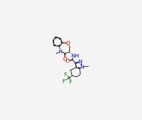 CN1C(=O)[C@@H](NC(=O)c2nn(C)c3c2C[C@H](C(F)(F)F)CC3)COc2ccccc21